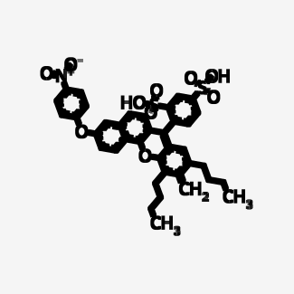 C=c1c(CCCC)cc2c(c1CCCC)Oc1c(ccc3cc(Oc4ccc([N+](=O)[O-])cc4)ccc13)C=2c1ccc(S(=O)(=O)O)cc1S(=O)(=O)O